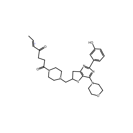 C/C=C/C(=O)CCC(=O)N1CCN(CC2Cc3nc(-c4cccc(O)c4)nc(N4CCOCC4)c3S2)CC1